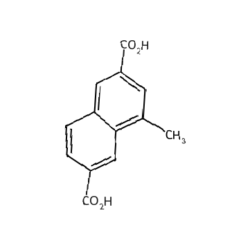 Cc1cc(C(=O)O)cc2ccc(C(=O)O)cc12